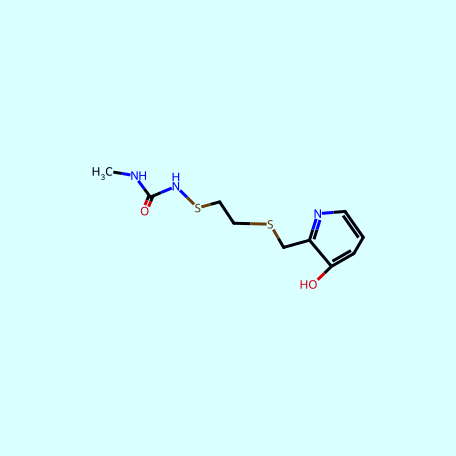 CNC(=O)NSCCSCc1ncccc1O